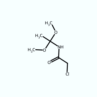 COC(C)(NC(=O)CCl)OC